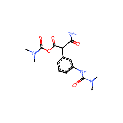 CN(C)C(=O)Nc1cccc(C(C(N)=O)C(=O)OC(=O)N(C)C)c1